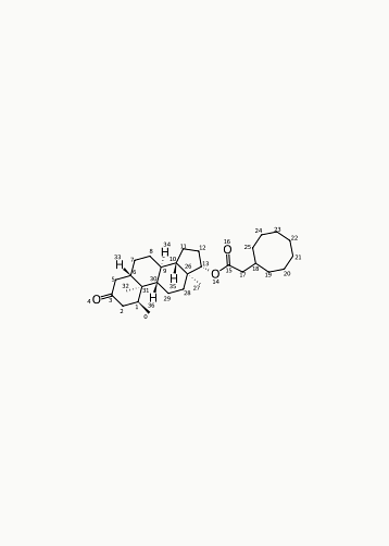 C[C@H]1CC(=O)C[C@@H]2CC[C@H]3[C@@H]4CC[C@H](OC(=O)CC5CCCCCCC5)[C@@]4(C)CC[C@@H]3[C@]21C